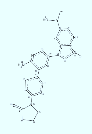 CC(O)c1cnc2c(c1)c(-c1cnc(N)c(-c3ccc(N4CCCC4=O)cc3)c1)cn2C